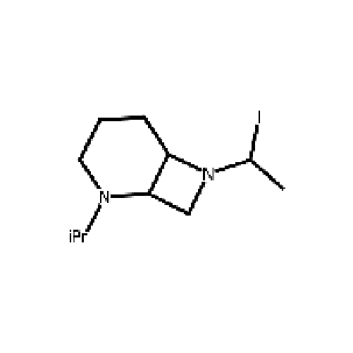 CC(C)N1CCCC2C1CN2C(C)I